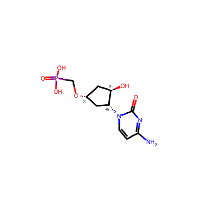 Nc1ccn([C@@H]2C[C@H](OCP(=O)(O)O)C[C@H]2O)c(=O)n1